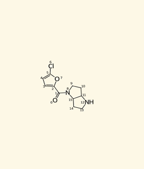 O=C(c1ccc(Cl)o1)N1CCC2NCCC21